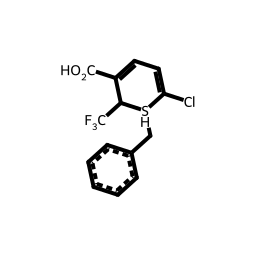 O=C(O)C1=CC=C(Cl)[SH](Cc2ccccc2)C1C(F)(F)F